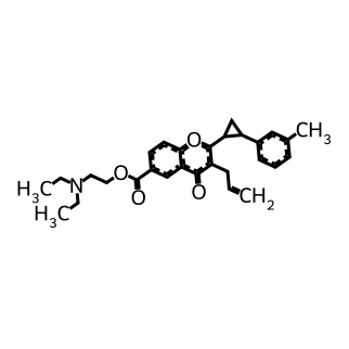 C=CCc1c(C2CC2c2cccc(C)c2)oc2ccc(C(=O)OCCN(CC)CC)cc2c1=O